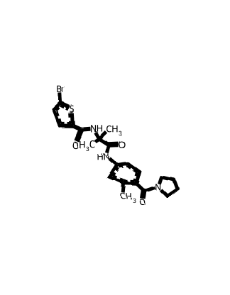 Cc1cc(NC(=O)C(C)(C)NC(=O)c2ccc(Br)s2)ccc1C(=O)N1CCCC1